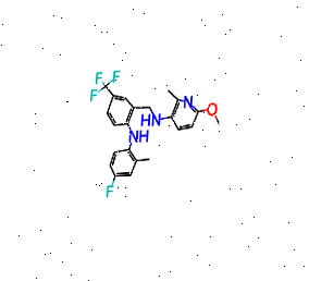 COc1ccc(NCc2cc(C(F)(F)F)ccc2Nc2ccc(F)cc2C)c(C)n1